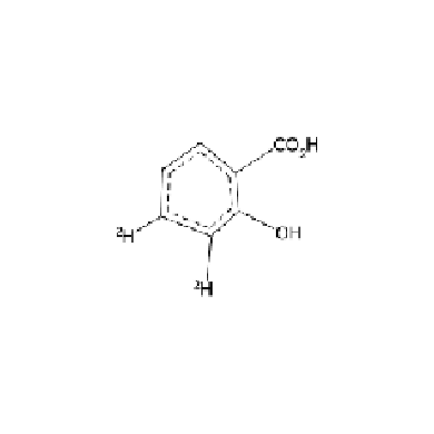 [2H]c1ccc(C(=O)O)c(O)c1[2H]